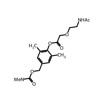 CNC(=O)OCc1cc(C)c(OC(=O)COCCNC(C)=O)c(C)c1